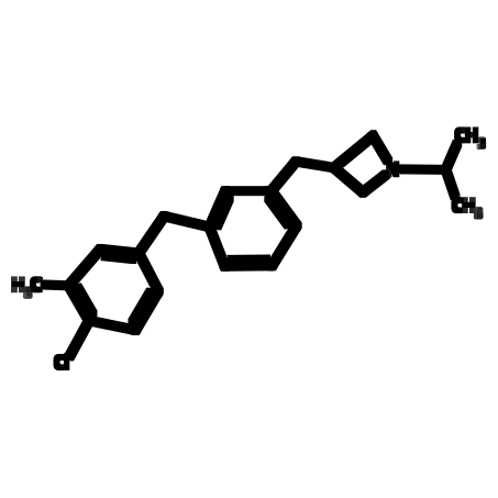 Cc1cc(Cc2cccc(CC3CN(C(C)C)C3)c2)ccc1Cl